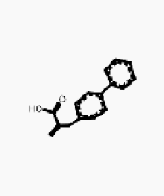 C=C(Cc1ccc(-c2ccccc2)cc1)C(=O)O